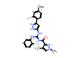 COc1ccc(-c2cc(N/C(=N\C(=O)c3nn(C)cc3C(F)(F)F)Nc3ccccc3F)[nH]n2)c(F)c1